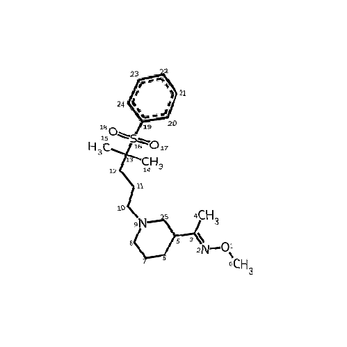 CO/N=C(\C)C1CCCN(CCCC(C)(C)S(=O)(=O)c2ccccc2)C1